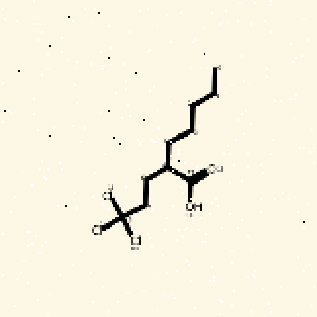 CCCCCC(CCC(Cl)(Cl)Cl)C(=O)O